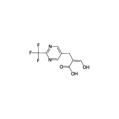 O=C(O)/C(=C\O)Cc1cnc(C(F)(F)F)nc1